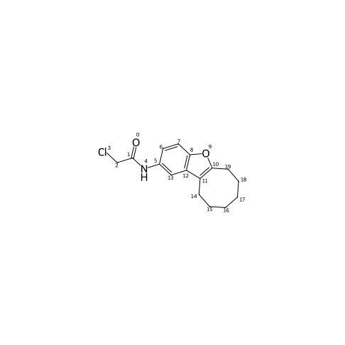 O=C(CCl)Nc1ccc2oc3c(c2c1)CCCCCC3